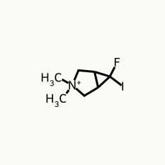 C[N+]1(C)CC2C(C1)C2(F)I